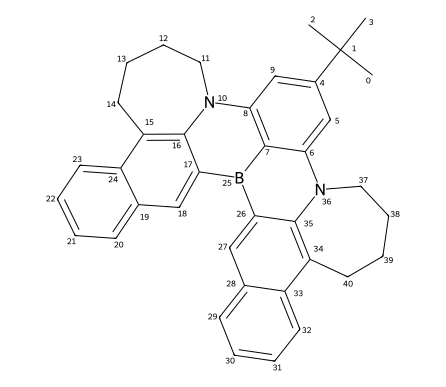 CC(C)(C)c1cc2c3c(c1)N1CCCCc4c1c(cc1ccccc41)B3c1cc3ccccc3c3c1N2CCCC3